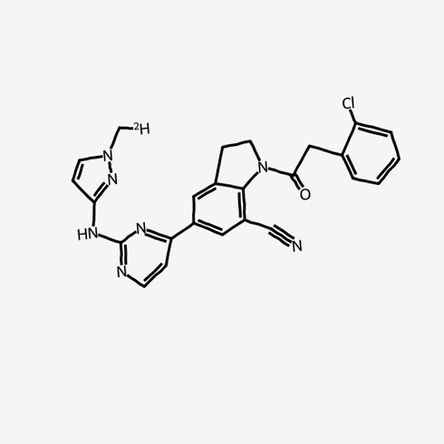 [2H]Cn1ccc(Nc2nccc(-c3cc(C#N)c4c(c3)CCN4C(=O)Cc3ccccc3Cl)n2)n1